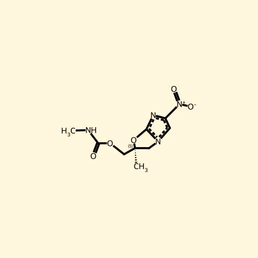 CNC(=O)OC[C@]1(C)Cn2cc([N+](=O)[O-])nc2O1